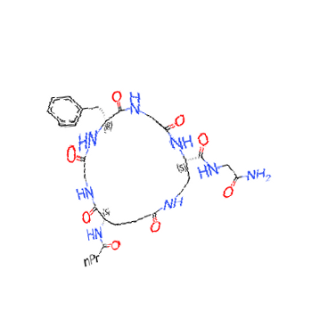 CCCC(=O)N[C@H]1CCC(=O)NCC[C@@H](C(=O)NCC(N)=O)NC(=O)CNC(=O)[C@@H](Cc2ccccc2)NC(=O)CNC1=O